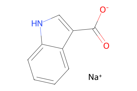 O=C([O-])c1c[nH]c2ccccc12.[Na+]